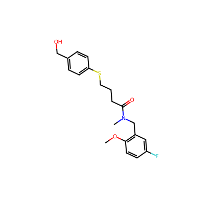 COc1ccc(F)cc1CN(C)C(=O)CCCSc1ccc(CO)cc1